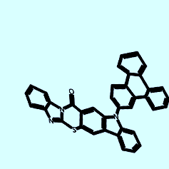 O=c1c2cc3c(cc2sc2nc4ccccc4n12)c1ccccc1n3-c1ccc2c3ccccc3c3ccccc3c2c1